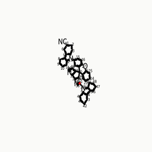 N#Cc1ccc2c(c1)c1ccccc1n2-c1ccc2c(c1)C1(c3ccccc3O2)c2cccnc2-c2ncc(-n3c4ccccc4c4ccccc43)cc21